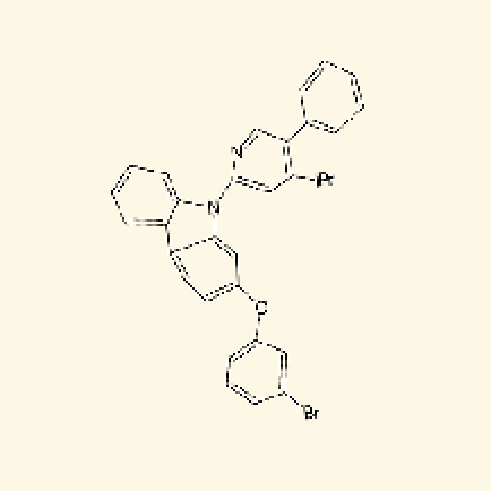 CC(C)c1cc(-n2c3ccccc3c3ccc(Oc4cccc(Br)c4)cc32)ncc1-c1ccccc1